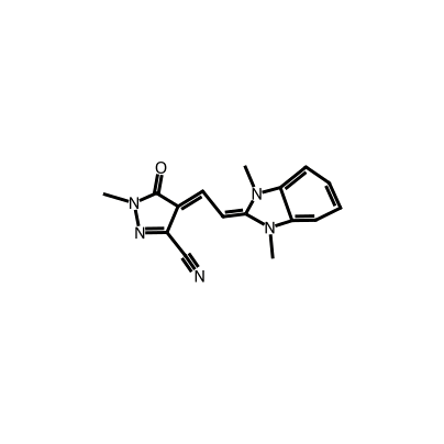 CN1N=C(C#N)/C(=C\C=C2N(C)c3ccccc3N2C)C1=O